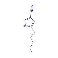 CCCCSc1cc(C#N)c[nH]1